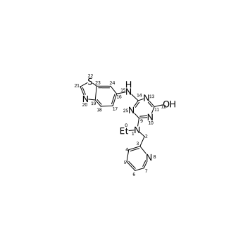 CCN(Cc1ccccn1)c1nc(O)nc(Nc2ccc3ncsc3c2)n1